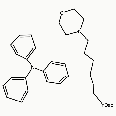 CCCCCCCCCCCCCCCCN1CCOCC1.c1ccc(N(c2ccccc2)c2ccccc2)cc1